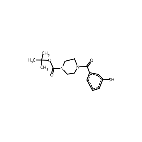 CC(C)(C)OC(=O)N1CCN(C(=O)c2cccc(S)c2)CC1